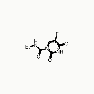 CCNC(=O)n1cc(F)c(=O)[nH]c1=O